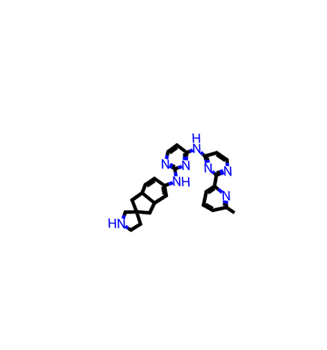 Cc1cccc(-c2nccc(Nc3ccnc(NC4=CC5CC6(CCNC6)CC5C=C4)n3)n2)n1